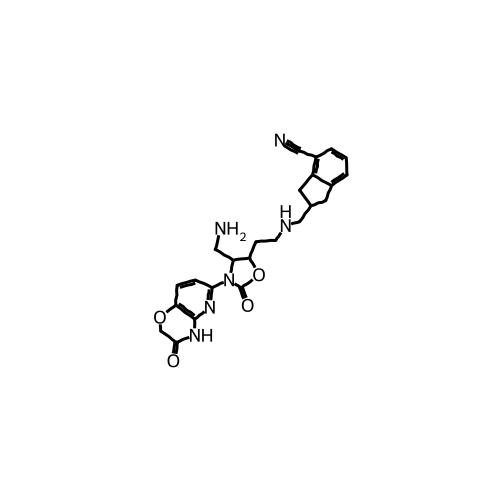 N#Cc1cccc2c1CC(CNCCC1OC(=O)N(c3ccc4c(n3)NC(=O)CO4)C1CN)C2